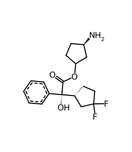 N[C@@H]1CCC(OC(=O)[C@](O)(c2ccccc2)[C@@H]2CCC(F)(F)C2)C1